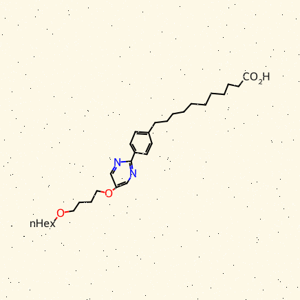 CCCCCCOCCCCOc1cnc(-c2ccc(CCCCCCCCCCC(=O)O)cc2)nc1